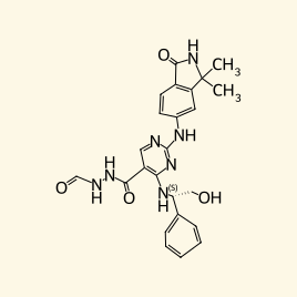 CC1(C)NC(=O)c2ccc(Nc3ncc(C(=O)NNC=O)c(N[C@H](CO)c4ccccc4)n3)cc21